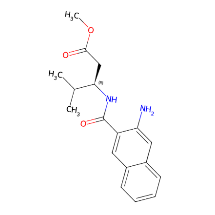 COC(=O)C[C@@H](NC(=O)c1cc2ccccc2cc1N)C(C)C